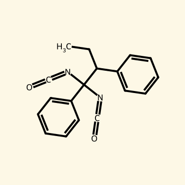 CCC(c1ccccc1)C(N=C=O)(N=C=O)c1ccccc1